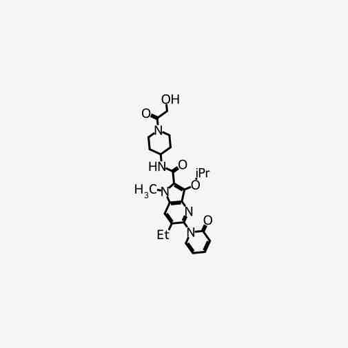 CCc1cc2c(nc1-n1ccccc1=O)c(OC(C)C)c(C(=O)NC1CCN(C(=O)CO)CC1)n2C